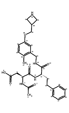 CC(=O)N[C@@H](CC(=O)O)C(=O)N[C@@H](CCc1ccccc1)C(=O)NCc1cc(OCC2CNC2)ccc1C